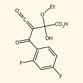 CCOC(O)(C(=O)O)C(=C=O)C(=O)c1ccc(F)cc1F